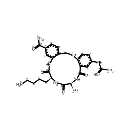 CC[C@H](C)[C@@H]1NC(=O)c2cc(NC(=N)N)ccc2NCc2ccc(C(N)=O)cc2NC(=O)[C@H](CCCCN)NC1=O